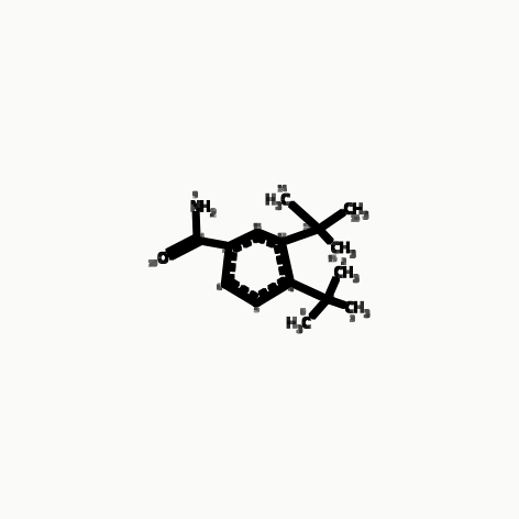 CC(C)(C)c1ccc(C(N)=O)cc1C(C)(C)C